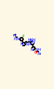 CN(C)CCNc1cc(F)cc(-c2nccc3[nH]c(-c4n[nH]c5ncc(-c6cncc(NC(=O)CN(C)C)c6)cc45)cc23)c1